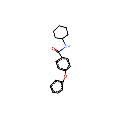 O=C(NC1CCCCC1)c1ccc(Oc2ccccc2)cc1